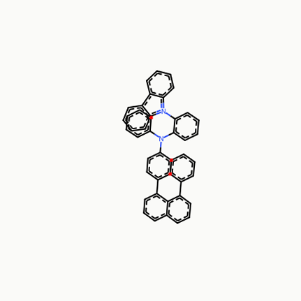 c1ccc(-c2cccc3cccc(-c4ccc(N(c5ccccc5)c5ccccc5-n5c6ccccc6c6ccccc65)cc4)c23)cc1